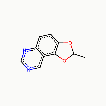 CC1Oc2ccc3ncncc3c2O1